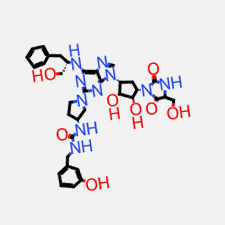 O=C(NCc1cccc(O)c1)N[C@@H]1CCN(c2nc(N[C@H](CO)Cc3ccccc3)c3ncn([C@@H]4C[C@H](N5C(=O)NC(CO)C5=O)[C@@H](O)[C@H]4O)c3n2)C1